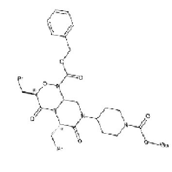 CC(C)C[C@H]1ON(C(=O)OCc2ccccc2)C2CN(C3CCN(C(=O)OC(C)(C)C)CC3)C(=O)[C@H](CC(C)C)N2C1=O